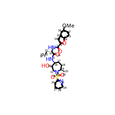 COc1ccc2oc(C(=O)N[C@@H](CC(C)C)C(=O)N[C@H]3CC[C@@H](C)N(S(=O)(=O)c4ccccn4)C[C@@H]3O)cc2c1